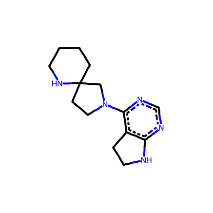 c1nc2c(c(N3CCC4(CCCCN4)C3)n1)CCN2